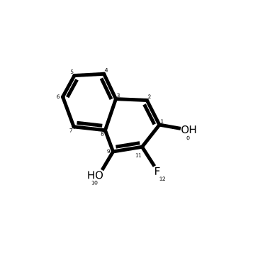 Oc1cc2ccccc2c(O)c1F